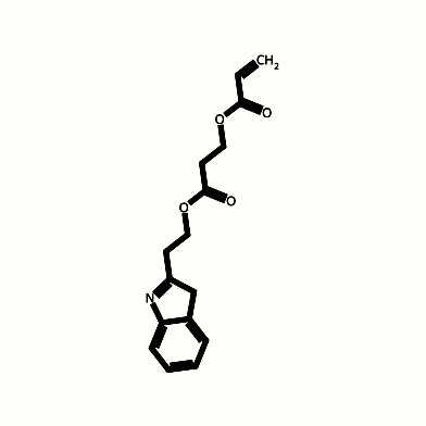 C=CC(=O)OCCC(=O)OCCC1=Nc2ccccc2C1